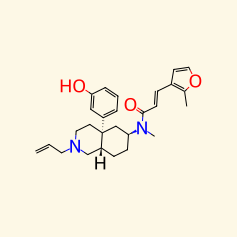 C=CCN1CC[C@@]2(c3cccc(O)c3)C[C@@H](N(C)C(=O)/C=C/c3ccoc3C)CC[C@@H]2C1